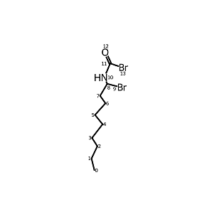 CCCCCCCCC(Br)NC(=O)Br